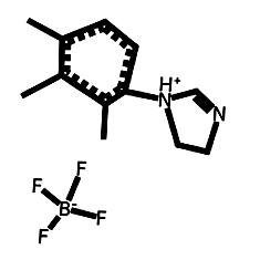 Cc1ccc([NH+]2C=NCC2)c(C)c1C.F[B-](F)(F)F